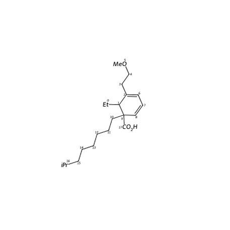 CCC1C(CCOC)=CC=CC1(CCCCCCC(C)C)C(=O)O